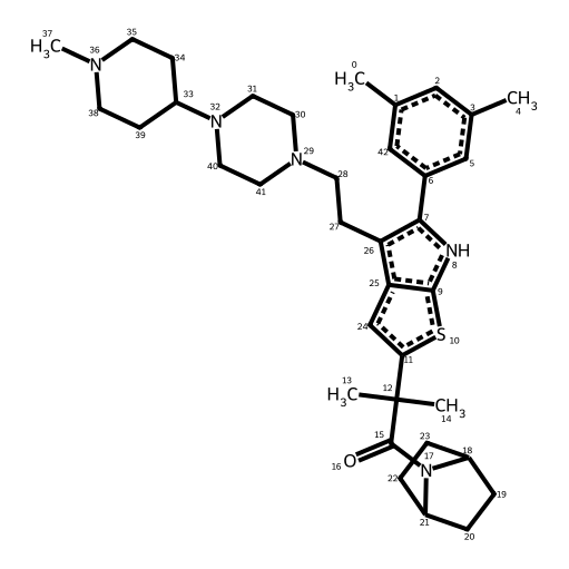 Cc1cc(C)cc(-c2[nH]c3sc(C(C)(C)C(=O)N4C5CCC4CC5)cc3c2CCN2CCN(C3CCN(C)CC3)CC2)c1